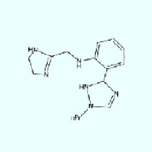 CCCN1C=NC(c2ccccc2NCC2=NCCN2)N1